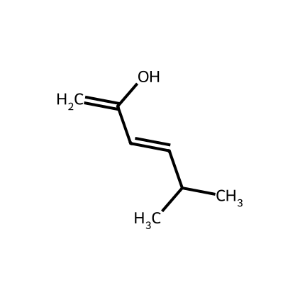 C=C(O)C=CC(C)C